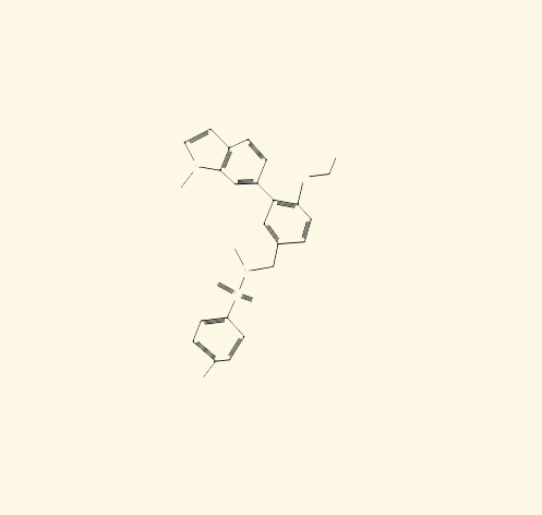 CN(Cc1ccc(OCC(=O)O)c(-c2ccc3ccn(C)c3c2)c1)S(=O)(=O)c1ccc(F)cc1